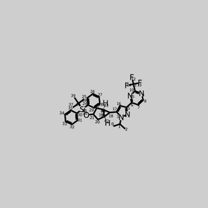 CC(C)n1nc(-c2ccnc(C(F)(F)F)n2)cc1C1[C@H]2CC(O[Si](c3ccccc3)(c3ccccc3)C(C)(C)C)C[C@@H]12